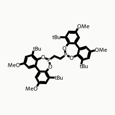 COc1cc(C(C)(C)C)c2op(CCp3oc4c(C(C)(C)C)cc(OC)cc4c4cc(OC)cc(C(C)(C)C)c4o3)oc3c(C(C)(C)C)cc(OC)cc3c2c1